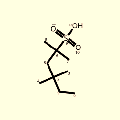 CCC(C)(C)CC(C)(C)S(=O)(=O)O